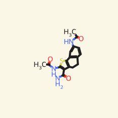 CC(=O)Nc1ccc2c(c1)-c1sc(NC(C)=O)c(C(N)=O)c1CC2